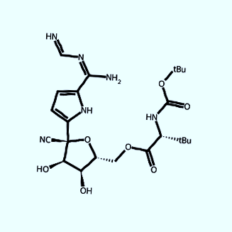 CC(C)(C)OC(=O)N[C@@H](C(=O)OC[C@H]1O[C@@](C#N)(c2ccc(/C(N)=N\C=N)[nH]2)[C@H](O)[C@@H]1O)C(C)(C)C